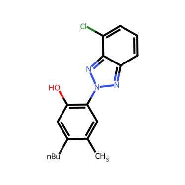 CCCCc1cc(O)c(-n2nc3cccc(Cl)c3n2)cc1C